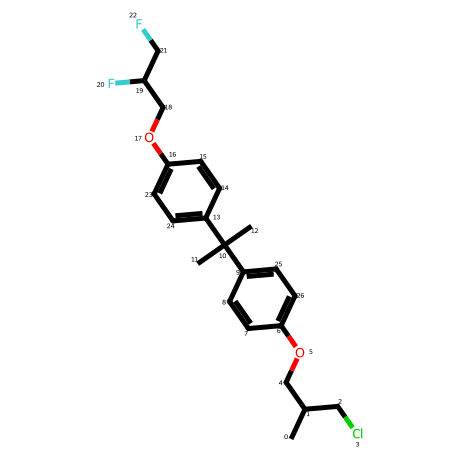 CC(CCl)COc1ccc(C(C)(C)c2ccc(OCC(F)CF)cc2)cc1